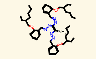 CCCCC(CC)COc1ccccc1CN=NC([SiH3])=C(N=NCc1ccccc1OCC(CC)CCCC)N=NCc1ccccc1OCC(CC)CCCC